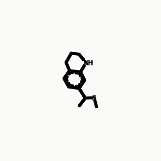 CSC(C)c1ccc2c(c1)NCCC2